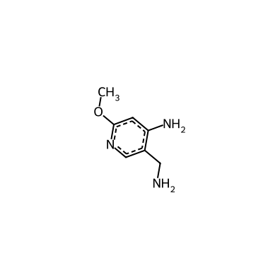 COc1cc(N)c(CN)cn1